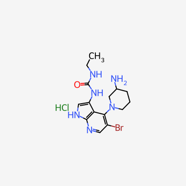 CCNC(=O)Nc1c[nH]c2ncc(Br)c(N3CCCC(N)C3)c12.Cl